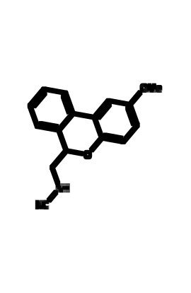 COc1ccc2c(c1)-c1ccccc1C(CNC#N)O2